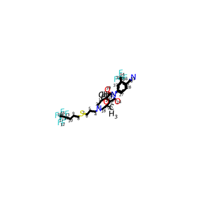 C[C@]12CN(CCCSCCCC(F)(F)C(F)(F)F)C[C@](C)(O1)C1C(=O)N(c3ccc(C#N)c(C(F)(F)F)c3)C(=O)[C@H]12